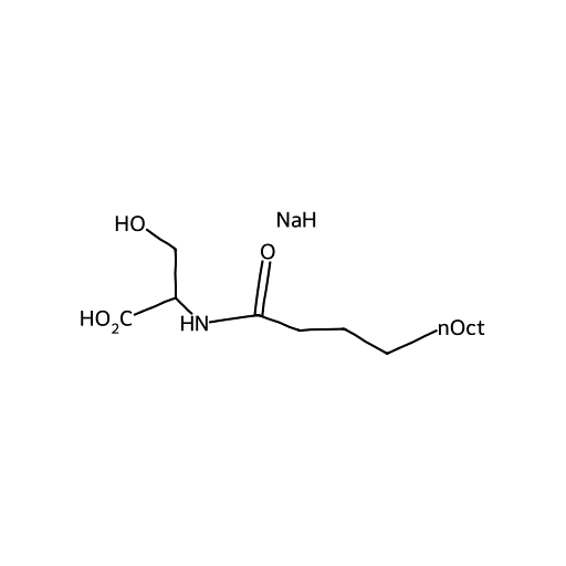 CCCCCCCCCCCC(=O)NC(CO)C(=O)O.[NaH]